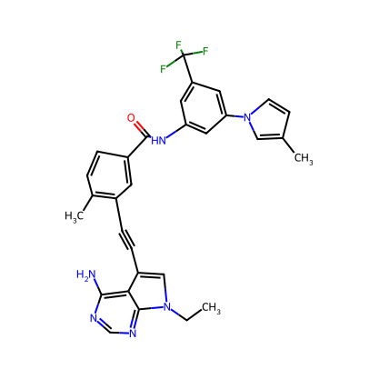 CCn1cc(C#Cc2cc(C(=O)Nc3cc(-n4ccc(C)c4)cc(C(F)(F)F)c3)ccc2C)c2c(N)ncnc21